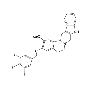 COc1cc2c(cc1OCc1cc(F)c(F)c(F)c1)CCN1Cc3[nH]c4ccccc4c3CC21